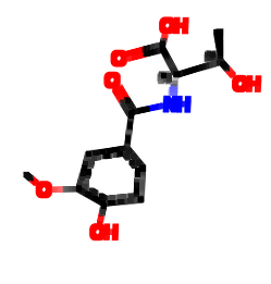 COc1cc(C(=O)N[C@H](C(=O)O)[C@@H](C)O)ccc1O